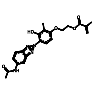 C=C(C)C(=O)OCCOc1ccc(-n2n3c4ccc(NC(C)=O)cc4n23)c(O)c1C